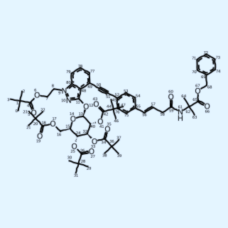 CC(C)(C)C(=O)OCCn1nc(O[C@@H]2O[C@H](COC(=O)C(C)(C)C)[C@@H](OC(=O)C(C)(C)C)[C@H](OC(=O)C(C)(C)C)[C@H]2OC(=O)C(C)(C)C)c2c(C#Cc3ccc(C=CCC(=O)NC(C)(C)C(=O)OCc4ccccc4)cc3)cccc21